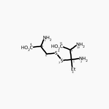 CCC(N)(SSCC(N)C(=O)O)C(N)C(=O)O